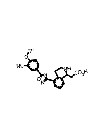 CC(C)Oc1ccc(-c2nc(-c3cccc4c3CCNC4CC(=O)O)no2)cc1C#N